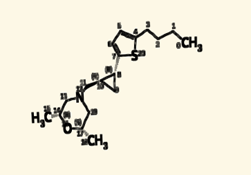 CCCCc1ccc([C@@H]2C[C@H]2CN2C[C@@H](C)O[C@@H](C)C2)s1